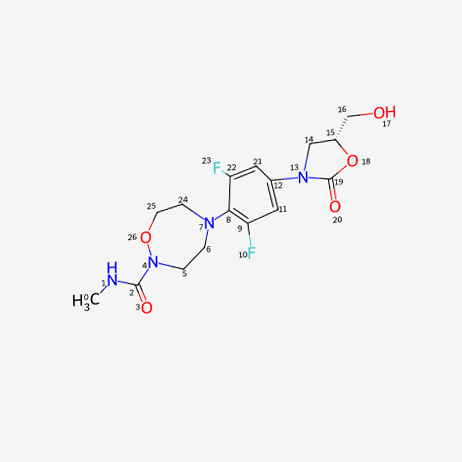 CNC(=O)N1CCN(c2c(F)cc(N3C[C@H](CO)OC3=O)cc2F)CCO1